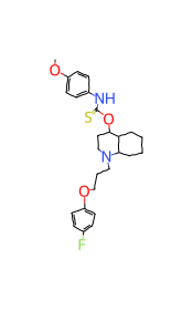 COc1ccc(NC(=S)OC2CCN(CCCOc3ccc(F)cc3)C3CCCCC23)cc1